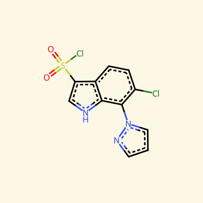 O=S(=O)(Cl)c1c[nH]c2c(-n3cccn3)c(Cl)ccc12